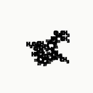 CSc1nc2c(c(N3CCCn4nc(C(=O)N(C)C)cc4C3)n1)COC1(CCc3ccc(NC(=O)OC(C)(C)C)c(F)c31)C2